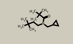 CC(C)(C)CCN(CC1CC1)C(=O)C(C)(C)C